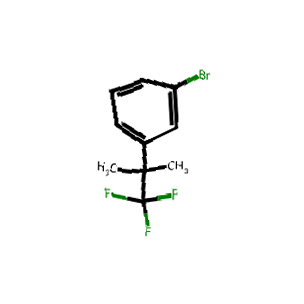 CC(C)(c1cccc(Br)c1)C(F)(F)F